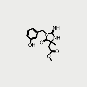 COC(=O)CC1(C)NC(=N)N(Cc2cccc(O)c2)C1=O